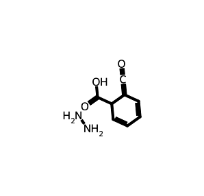 NN.O=C=C1C=CC=CC1C(=O)O